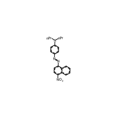 CCCN(CCC)c1ccc(N=Nc2ccc([N+](=O)[O-])c3ccccc23)cc1